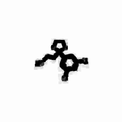 OCCC1(c2cc(Cl)cc(Cl)c2)OCCO1